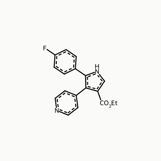 CCOC(=O)c1c[nH]c(-c2ccc(F)cc2)c1-c1ccncc1